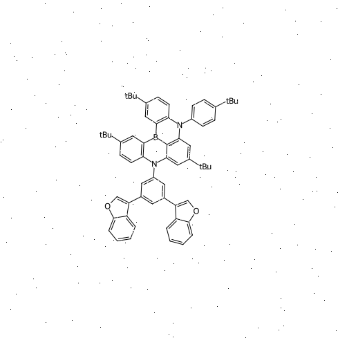 CC(C)(C)c1ccc(N2c3ccc(C(C)(C)C)cc3B3c4cc(C(C)(C)C)ccc4N(c4cc(-c5coc6ccccc56)cc(-c5coc6ccccc56)c4)c4cc(C(C)(C)C)cc2c43)cc1